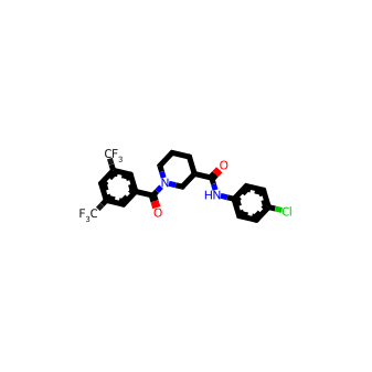 O=C(Nc1ccc(Cl)cc1)C1CCCN(C(=O)c2cc(C(F)(F)F)cc(C(F)(F)F)c2)C1